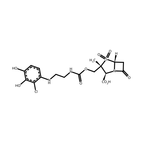 C[C@]1(COC(=O)NCCNc2ccc(O)c(O)c2Cl)[C@H](C(=O)O)N2C(=O)C[C@H]2S1(=O)=O